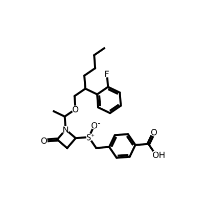 CCCCC(COC(C)N1C(=O)CC1[S+]([O-])Cc1ccc(C(=O)O)cc1)c1ccccc1F